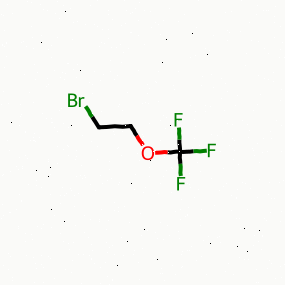 FC(F)(F)OCCBr